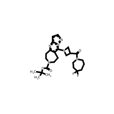 CC(C)(C)OC(=O)N1CCc2nc3ccnn3c(N3CC(C(=O)N4CCCC(F)(F)CC4)C3)c2CC1